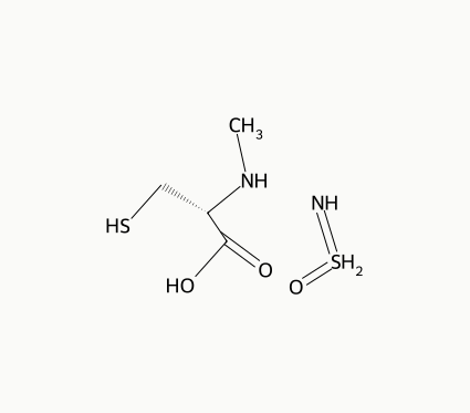 CN[C@@H](CS)C(=O)O.N=[SH2]=O